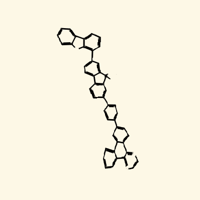 CC1(C)c2cc(-c3ccc(-c4ccc5c(c4)c4ccccc4c4nccnc54)cc3)ccc2-c2ccc(-c3cccc4c3sc3ccccc34)cc21